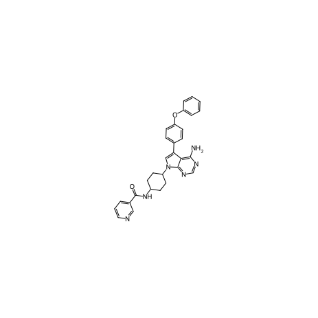 Nc1ncnc2c1c(-c1ccc(Oc3ccccc3)cc1)cn2C1CCC(NC(=O)c2cccnc2)CC1